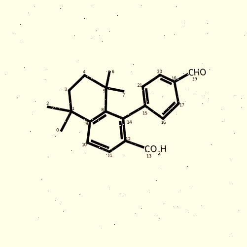 CC1(C)CCC(C)(C)c2c1ccc(C(=O)O)c2-c1ccc(C=O)cc1